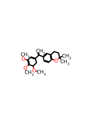 C=C(C1=CC(OC)=C(OC)C(OC)C1)c1ccc2c(c1)CCC(C)(C)O2